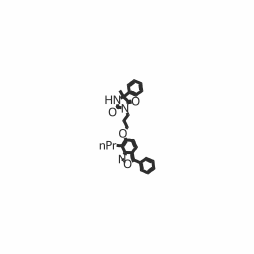 CCCc1c(OCCCN2C(=O)NC(C)(c3ccccc3)C2=O)ccc2c(-c3ccccc3)onc12